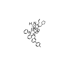 C=CC[C@H](C(N)=O)[C@@H](CC1CCCC1)C(=O)NC1CN(c2ccccc2)c2ccccc2N(Cc2cccc(-c3ccc(C)cc3)c2)C1=O